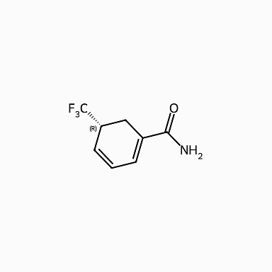 NC(=O)C1=CC=C[C@H](C(F)(F)F)C1